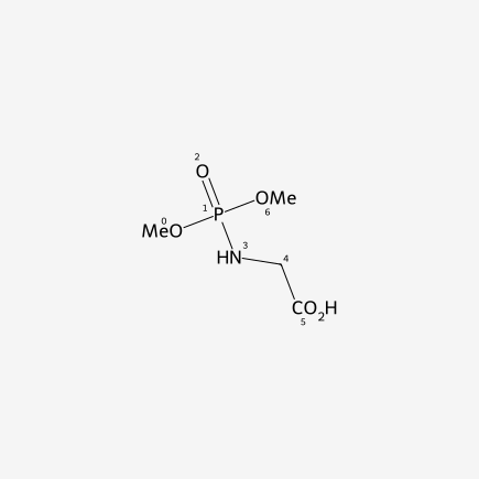 COP(=O)(NCC(=O)O)OC